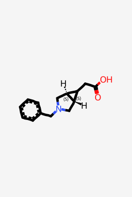 O=C(O)CC1[C@@H]2CN(Cc3ccccc3)C[C@@H]12